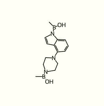 CB(O)N1CCN(c2cccc3c2ccn3B(C)O)CC1